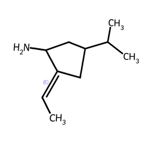 C/C=C1\CC(C(C)C)CC1N